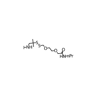 CCCNC(=O)COCCOCSSC(C)(C)CNI